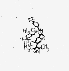 Cc1cc2c(cc1-c1c(C)noc1C)ncc1nc(C3CCC(F)(F)CC3)n([C@H](C)COC(F)F)c12